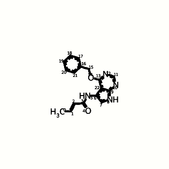 CC=CC(=O)Nc1c[nH]c2ncnc(OCc3ccccc3)c12